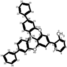 Cc1cccnc1-c1cc2c3c(c1)Oc1cc(-c4ccccc4)ccc1P3(=O)c1ccc(-c3ccccc3)cc1O2